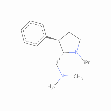 CC(C)N1CC[C@H](c2ccccc2)[C@H]1CN(C)C